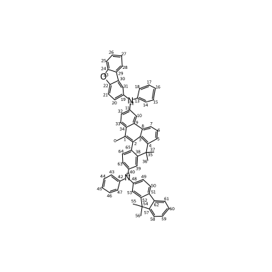 Cc1c2c3c(cccc3c3cc(N(c4ccccc4)c4ccc5oc6ccccc6c5c4)ccc13)C(C)(C)c1cc(N(c3ccccc3)c3ccc4c(c3)C(C)(C)c3ccccc3-4)ccc1-2